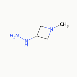 CN1CC(NN)C1